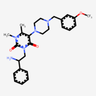 Cc1c(N2CCN(Cc3cccc(OC(F)(F)F)c3)CC2)c(=O)n(CC(N)c2ccccc2)c(=O)n1C